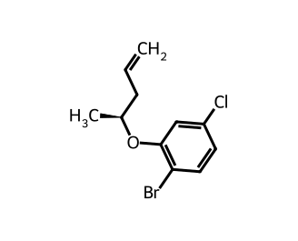 C=CC[C@H](C)Oc1cc(Cl)ccc1Br